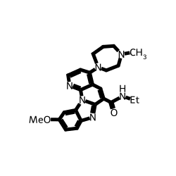 CCNC(=O)c1cc2c(N3CCCN(C)CC3)ccnc2n2c1nc1ccc(OC)cc12